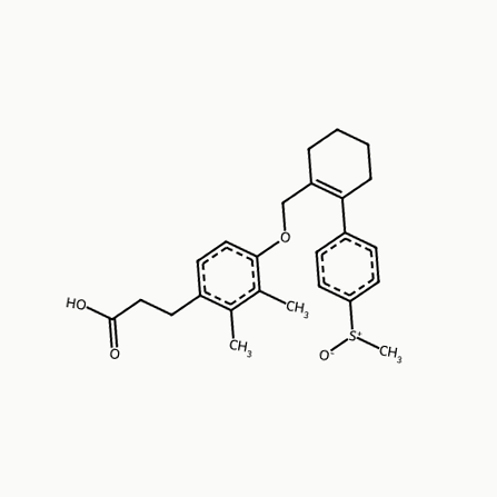 Cc1c(CCC(=O)O)ccc(OCC2=C(c3ccc([S+](C)[O-])cc3)CCCC2)c1C